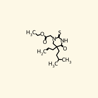 C=CCC1(CCC(C)C)CN(CC(=O)OCC)C(=S)NC1=O